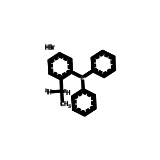 Br.[2H]C([2H])(C)c1ccccc1P(c1ccccc1)c1ccccc1